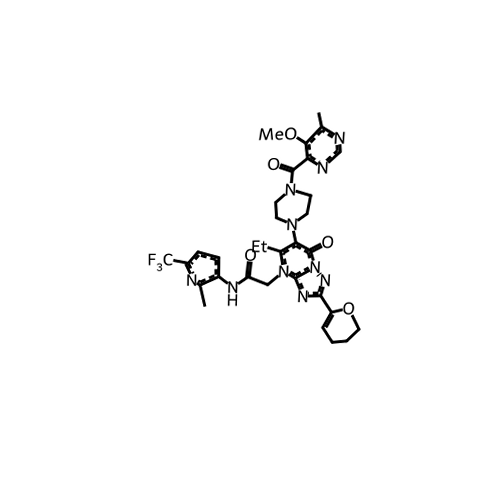 CCc1c(N2CCN(C(=O)c3ncnc(C)c3OC)CC2)c(=O)n2nc(C3=CCCCO3)nc2n1CC(=O)Nc1ccc(C(F)(F)F)nc1C